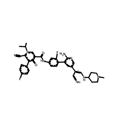 CC(C)n1cc(C(=O)Nc2ccc(-c3cc(/C(C=N)=C/NC4CCN(C)CC4)cnc3N)c(F)c2)c(=O)c(-c2ccc(F)cc2)c1C#N